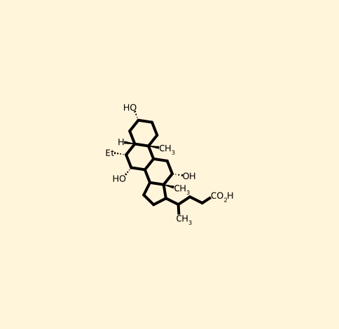 CC[C@H]1[C@@H](O)C2C3CCC(C(C)CCC(=O)O)[C@@]3(C)[C@@H](O)CC2[C@@]2(C)CC[C@@H](O)C[C@@H]12